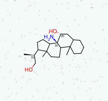 C[C@H](CO)C1CCC2C1(C)CCC1C3(C)CCCCC3C[C@@H](O)[C@]12N